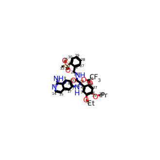 CCOc1cc(C(Nc2ccc3c(N)nccc3c2)(OC(=O)C(F)(F)F)C(=O)NCc2ccccc2S(C)(=O)=O)ccc1OC(C)C